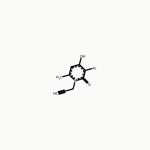 C#CCn1c(C)cc(O)c(C(C)=O)c1=O